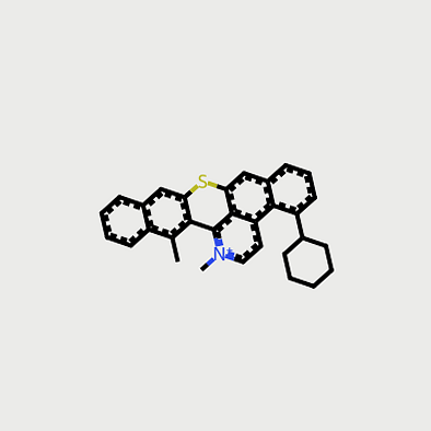 Cc1c2c(cc3ccccc13)Sc1cc3cccc(C4CCCCC4)c3c3cc[n+](C)c-2c13